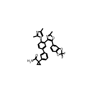 Cc1cn(-c2ccc(-c3cccc(C4(C(N)=O)CC4)c3)cc2-c2nc(C)oc2-c2ccc3c(c2)OC(F)(F)O3)c(C)n1